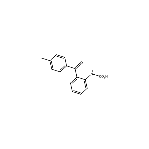 Cc1ccc(C(=O)c2ccccc2NC(=O)O)cc1